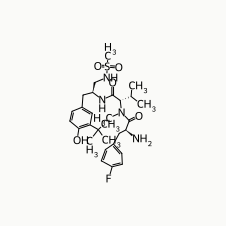 CC(C)[C@@H](C(=O)N[C@H](CNS(C)(=O)=O)Cc1ccc(O)c(C(C)(C)C)c1)N(C)C(=O)[C@@H](N)Cc1ccc(F)cc1